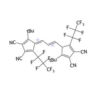 CC(C)(C)C1=C(C#N)C(C#N)=C(C(F)(F)C(F)(F)C(F)(F)F)/C1=C\C=C\C1C(C(C)(C)C)=C(C#N)C(C#N)=C1C(F)(F)C(F)(F)C(F)(F)F